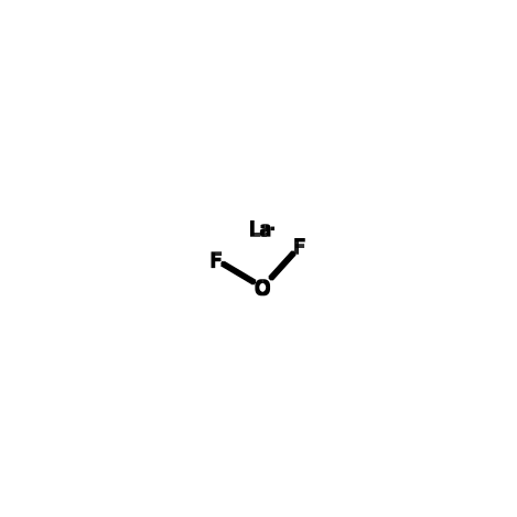 FOF.[La]